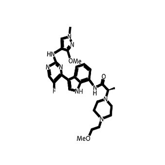 COCCN1CCN([C@H](C)C(=O)Nc2cccc3c(-c4nc(Nc5cn(C)nc5OC)ncc4F)c[nH]c23)CC1